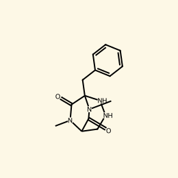 CN1C(=O)C2(Cc3ccccc3)NNCC1C(=O)N2C